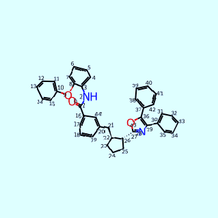 O=C(Nc1ccccc1Oc1ccccc1)c1cccc(C[C@@H]2CCC[C@H]2c2nc(-c3ccccc3)c(-c3ccccc3)o2)c1